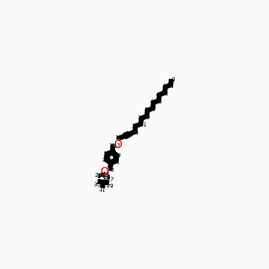 CCCCCCCCCCCCCCC#CCOCc1ccc(CO[Si](C)(C)C(C)(C)C)cc1